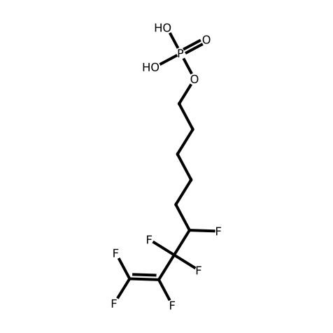 O=P(O)(O)OCCCCCC(F)C(F)(F)C(F)=C(F)F